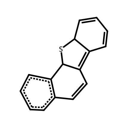 C1=CC2=C3C=Cc4ccccc4C3SC2C=C1